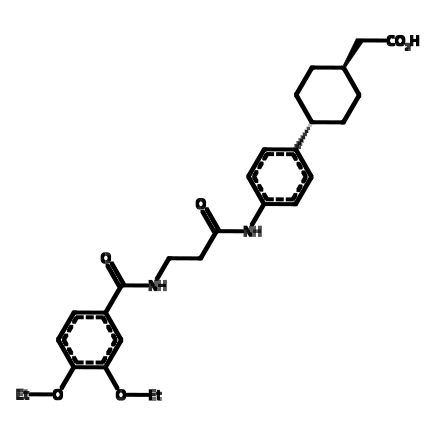 CCOc1ccc(C(=O)NCCC(=O)Nc2ccc([C@H]3CC[C@H](CC(=O)O)CC3)cc2)cc1OCC